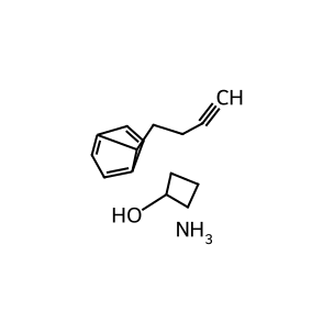 C#CCCC1C2=CC=C1C=C2.N.OC1CCC1